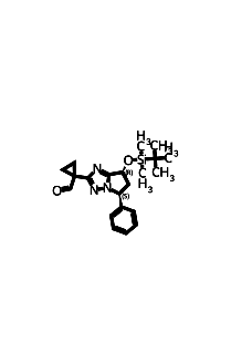 CC(C)(C)[Si](C)(C)O[C@@H]1C[C@@H](c2ccccc2)n2nc(C3(C=O)CC3)nc21